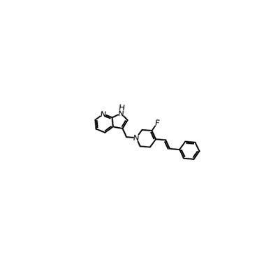 FC1=C(C=Cc2ccccc2)CCN(Cc2c[nH]c3ncccc23)C1